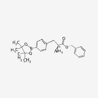 CC1(C)OB(c2ccc(C[C@H](N)C(=O)OCc3ccccc3)cc2)OC1(C)C